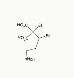 CCCCCCCCCCCC(CC)C(CC)(C(=O)O)C(=O)O